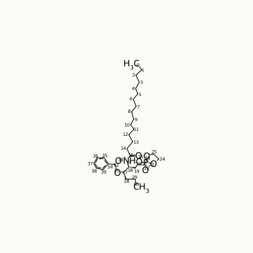 CCCCCCCCCCCCCCCC(=O)N[C@@H](COP1(=O)OCCO1)[C@@H](CCC)OC(=O)c1ccccc1